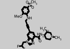 COc1ccc(S(C)(=O)=O)cc1NCC#Cc1cc(C(=O)N[C@H]2CCN(C)C[C@@H]2C)c2ncn(CC(F)F)c2c1